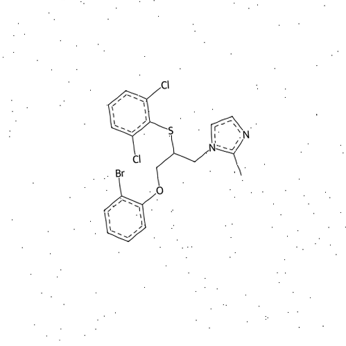 Cc1nccn1CC(COc1ccccc1Br)Sc1c(Cl)cccc1Cl